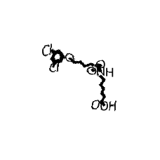 O=C(O)CCCCCCNS(=O)(=O)CCCCOc1cc(Cl)cc(Cl)c1